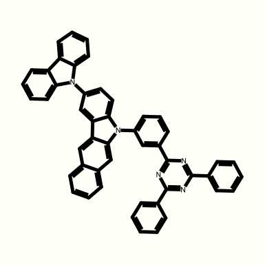 c1ccc(-c2nc(-c3ccccc3)nc(-c3cccc(-n4c5ccc(-n6c7ccccc7c7ccccc76)cc5c5cc6ccccc6cc54)c3)n2)cc1